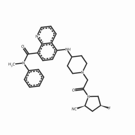 CN(C(=O)c1ccc(NC2CCN(CC(=O)N3C[C@@H](F)C[C@H]3C#N)CC2)c2cccnc12)c1ccccc1